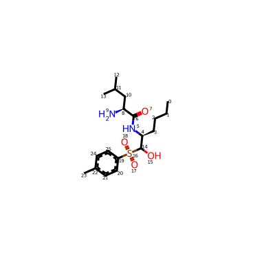 CCCC[C@H](NC(=O)[C@@H](N)CC(C)C)C(O)S(=O)(=O)c1ccc(C)cc1